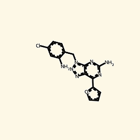 Nc1nc(-c2ccco2)c2nnn(Cc3ccc(Cl)cc3N)c2n1